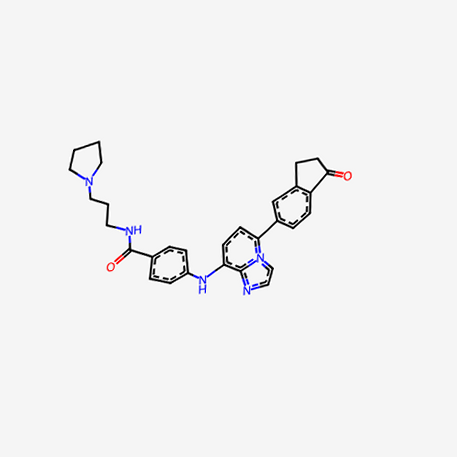 O=C(NCCCN1CCCC1)c1ccc(Nc2ccc(-c3ccc4c(c3)CCC4=O)n3ccnc23)cc1